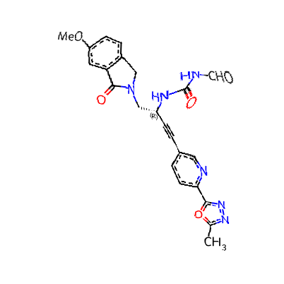 COc1ccc2c(c1)C(=O)N(C[C@@H](C#Cc1ccc(-c3nnc(C)o3)nc1)NC(=O)NC=O)C2